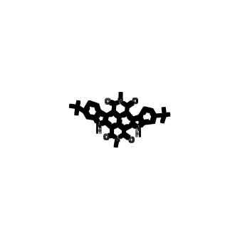 CN1C(=O)c2c3[nH]c4cc(C(C)(C)C)ccc4c3c3c4c(c5c([nH]c6cc(C(C)(C)C)ccc65)c(c24)C1=O)C(=O)N(C)C3=O